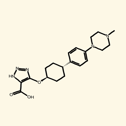 CN1CCN(c2ccc([C@H]3CC[C@H](Oc4nn[nH]c4C(=O)O)CC3)cc2)CC1